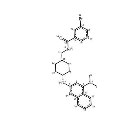 CN(C)c1cc(N[C@H]2CC[C@@H](CNC(=O)c3cncc(Br)c3)CC2)nc2ccccc12